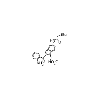 CC(C)(C)CC(=O)Nc1ccc2c(c1)cc(C(=O)c1ccccc1N)n2CC(=O)O